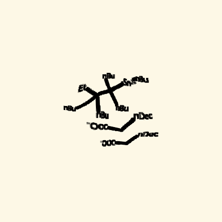 CCCCCCCCCCCC(=O)[O-].CCCCCCCCCCCC(=O)[O-].CCC[CH2][Sn+2][C](CCCC)(CCCC)C(CC)(CCCC)CCCC